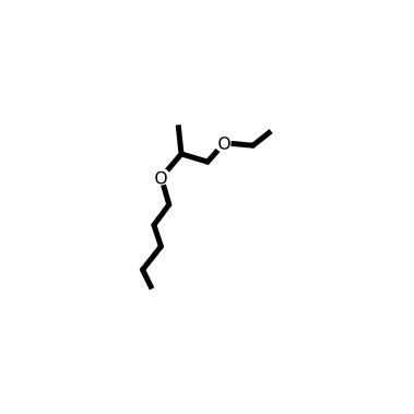 CCCCCOC(C)COCC